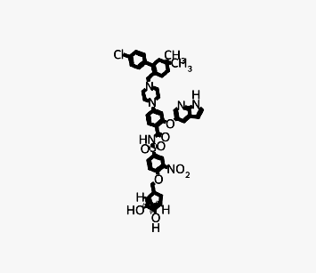 CC1(C)CCC(CN2CCN(c3ccc(C(=O)NS(=O)(=O)c4ccc(OCC5C[C@@H]6C[C@@H]5[C@H](O)[C@@H]6O)c([N+](=O)[O-])c4)c(Oc4cnc5[nH]ccc5c4)c3)CC2)=C(c2ccc(Cl)cc2)C1